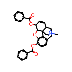 CN1CCC23c4c5ccc(OC(=O)c6ccccc6)c4OC2C(OC(=O)c2ccccc2)C=CC3C1C5